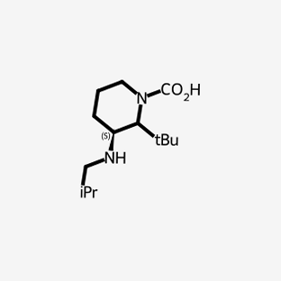 CC(C)CN[C@H]1CCCN(C(=O)O)C1C(C)(C)C